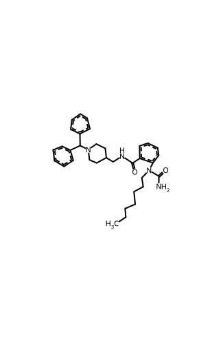 CCCCCCCN(C(N)=O)c1ccccc1C(=O)NCC1CCN(C(c2ccccc2)c2ccccc2)CC1